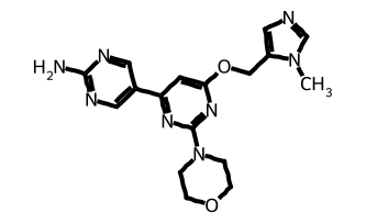 Cn1cncc1COc1cc(-c2cnc(N)nc2)nc(N2CCOCC2)n1